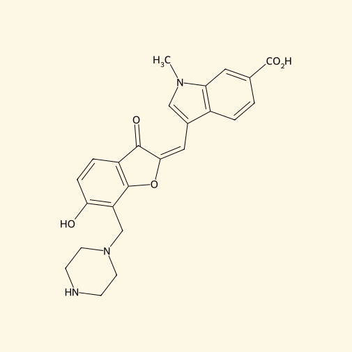 Cn1cc(C=C2Oc3c(ccc(O)c3CN3CCNCC3)C2=O)c2ccc(C(=O)O)cc21